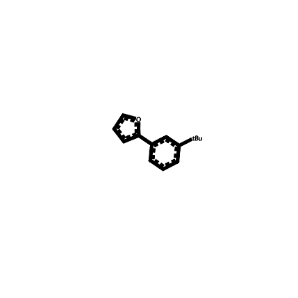 CC(C)(C)c1cc[c]c(-c2ccco2)c1